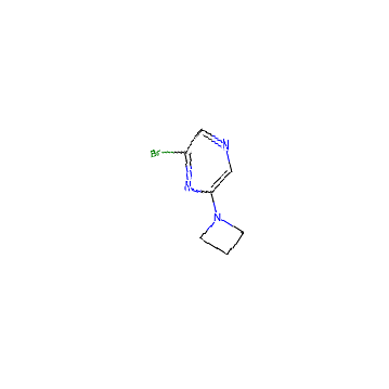 Brc1cncc(N2CCC2)n1